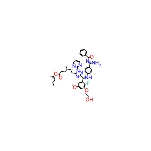 CCC[C@@H](C)OC(=O)CCC(C)CCc1nc([C@H](Nc2ccc(/C(N)=N/C(=O)c3ccccc3)cc2)c2cc(OC)cc(OCCO)c2F)nn1-c1ncccn1